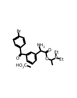 CC(=O)O.CCN(CC)C(C)OC(=O)C(N)c1cccc(C(=O)c2ccc(Br)cc2)c1